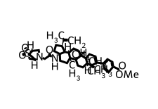 C=C(C)[C@@H]1CC[C@]2(NC(=O)CN3C[C@@H]4C[C@H]3CS4(=O)=O)CC[C@]3(C)[C@H](CC[C@@H]4[C@@]5(C)CC=C(c6ccc(C(=O)OC)cc6)C(C)(C)[C@@H]5CC[C@]43C)C12